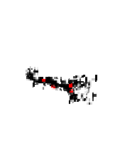 Cc1c(COc2cc(OCc3cncc(C(=O)O)c3)c(CNC(C)(CO)C(=O)O)cc2Cl)cccc1-c1cccc(-c2ccc(OCCN3CC[C@@H](O)C3)cc2)c1C